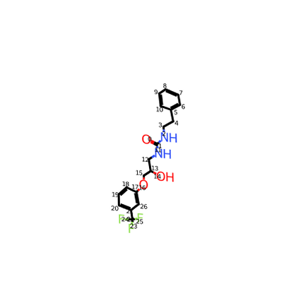 O=C(NCCc1ccccc1)NCC(O)COc1cccc(C(F)(F)F)c1